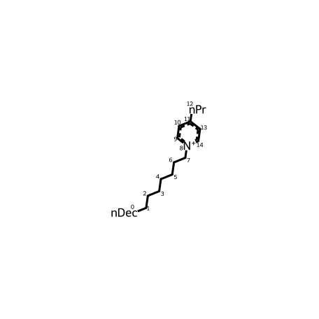 CCCCCCCCCCCCCCCCC[n+]1ccc(CCC)cc1